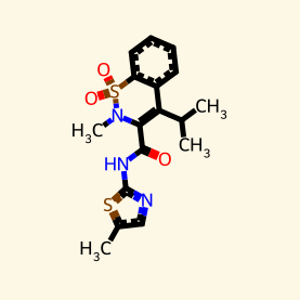 Cc1cnc(NC(=O)C2=C(C(C)C)c3ccccc3S(=O)(=O)N2C)s1